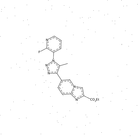 CCOC(=O)c1cn2cc(-c3nnn(-c4cccnc4F)c3C)ccc2n1